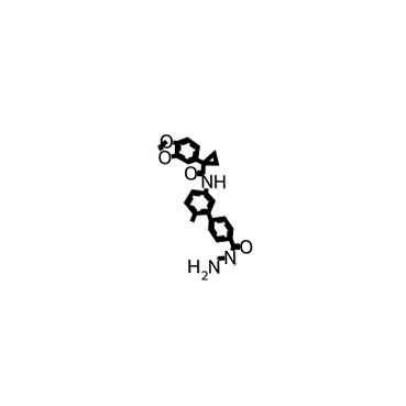 Cc1ccc(NC(=O)C2(c3ccc4c(c3)OCO4)CC2)cc1-c1ccc(C(=O)N(C)CN)cc1